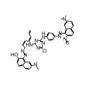 C=C/C=C(\C=C/C/N=N/c1c(O)ccc2ccc(N(C)C)cc12)Nc1nc(Cl)nc(Nc2ccc(/N=N/c3c(N=O)ccc4ccc(N(C)C)cc34)cc2)n1